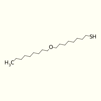 CCCCCCCCCOCCCCCCCCS